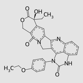 CCOc1ccc(N2C(=O)Nc3cccc4nc5c(c2c34)Cn2c-5cc3c(c2=O)COC(=O)[C@]3(O)CC)cc1